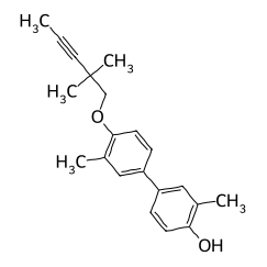 CC#CC(C)(C)COc1ccc(-c2ccc(O)c(C)c2)cc1C